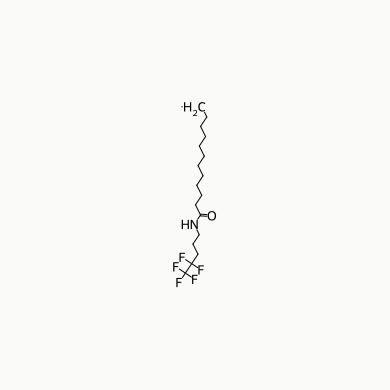 [CH2]CCCCCCCCCCC(=O)NCCCC(F)(F)C(F)(F)F